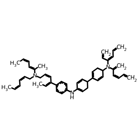 C=C/C=C\C(=C)N(/C(C=C)=C/C=C)C1C=CC(C2C=CC(Nc3ccc(C(/C=C\CN(C/C=C\C=C/C)/C(C)=C/C=C\C)=C/C)cc3)=CC2)=CC1